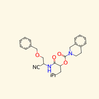 CC(C)CC(OC(=O)N1CCc2ccccc2C1)C(=O)NC(C#N)COCc1ccccc1